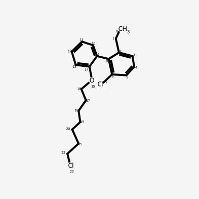 CCc1cccc(Cl)c1-c1ccccc1OCCCCCCCCl